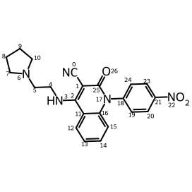 N#Cc1c(NCCN2CCCC2)c2ccccc2n(-c2ccc([N+](=O)[O-])cc2)c1=O